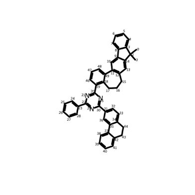 CC1(C)c2ccccc2-c2cc3c(cc21)CCCc1c(-c2nc(-c4ccccc4)nc(-c4ccc5c(c4)-c4ccccc4CC5)n2)cccc1-3